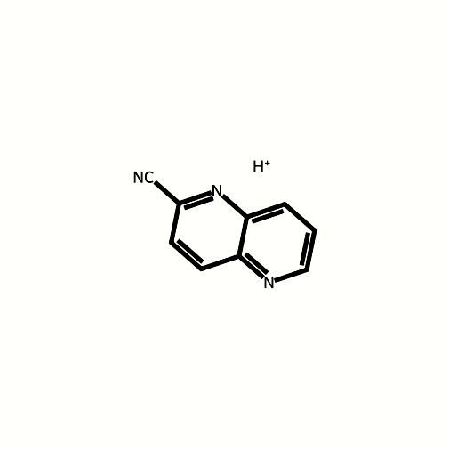 N#Cc1ccc2ncccc2n1.[H+]